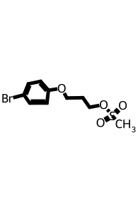 CS(=O)(=O)OCCCOc1ccc(Br)cc1